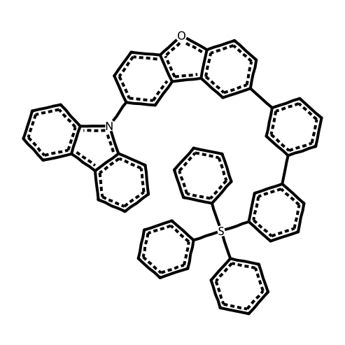 c1ccc(S(c2ccccc2)(c2ccccc2)c2cccc(-c3cccc(-c4ccc5oc6ccc(-n7c8ccccc8c8ccccc87)cc6c5c4)c3)c2)cc1